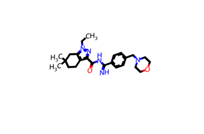 CCn1nc(C(=O)NC(=N)c2ccc(CN3CCOCC3)cc2)c2c1CC(C)(C)CC2